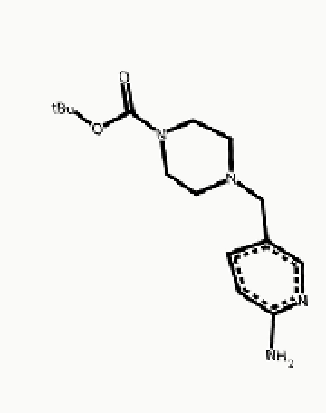 CC(C)(C)OC(=O)N1CCN(Cc2ccc(N)nc2)CC1